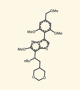 CCCCN(CC1COCOC1)c1c(OC)nn2c(-c3c(OC)cc(COC)cc3OC)csc12